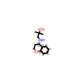 CC(C)(O)CN[C@H]1CCOc2ccccc21